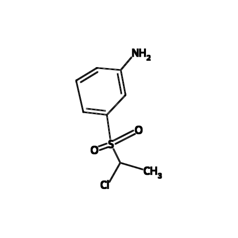 CC(Cl)S(=O)(=O)c1cccc(N)c1